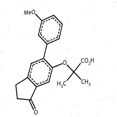 COc1cccc(-c2cc3c(cc2OC(C)(C)C(=O)O)C(=O)CC3)c1